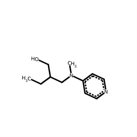 CCC(CO)CN(C)c1ccncc1